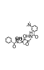 CN(C)c1cccc(C(=O)NC[C@H]2OC[C@@](O)(CN(O)C(=O)c3ccccc3)[C@@H]2O)c1